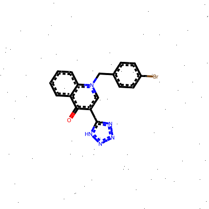 O=c1c(-c2nnn[nH]2)cn(Cc2ccc(Br)cc2)c2ccccc12